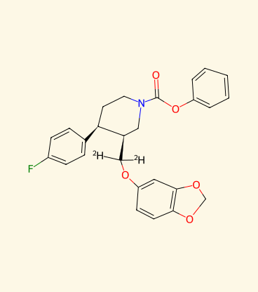 [2H]C([2H])(Oc1ccc2c(c1)OCO2)[C@@H]1CN(C(=O)Oc2ccccc2)CC[C@@H]1c1ccc(F)cc1